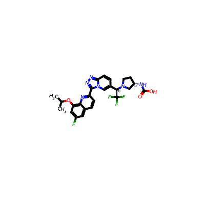 CC(C)Oc1cc(F)cc2ccc(-c3nnc4ccc([C@@H](N5CC[C@H](NC(=O)O)C5)C(F)(F)F)cn34)nc12